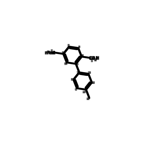 CCCCCc1ccc(C(=O)O)c(-c2ccc(C)cc2)c1